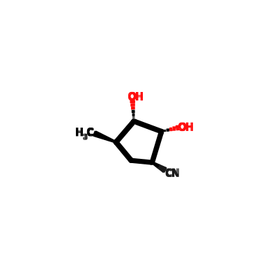 C[C@@H]1C[C@H](C#N)[C@@H](O)[C@H]1O